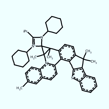 Cc1ccc2c(ccc3[n+]2C2(C)C(C)(c4ccc5c(c4-3)-c3sc4ccccc4c3C5(C)C)C23N(C2CCCCC2)C(C(C)C)=[N+]3C2CCCCC2)c1